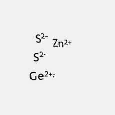 [Ge+2].[S-2].[S-2].[Zn+2]